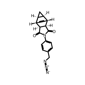 [N-]=[N+]=NCc1ccc(N2C(=O)[C@@H]3[C@@H]4C=C[C@@H]([C@H]5C[C@@H]45)[C@@H]3C2=O)cc1